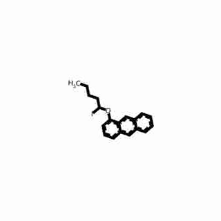 CCCCC(I)Oc1cccc2cc3ccccc3cc12